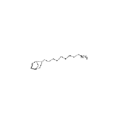 NCCCCCCCCCC1CC2C=CC1C2